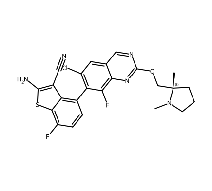 CN1CCC[C@@]1(C)COc1ncc2cc(Cl)c(-c3ccc(F)c4sc(N)c(C#N)c34)c(F)c2n1